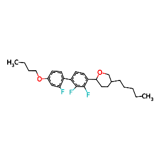 CCCCCC1CCC(c2ccc(-c3ccc(OCCCC)cc3F)c(F)c2F)OC1